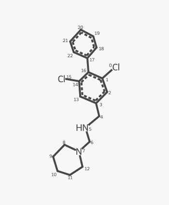 Clc1cc(CNCN2CCCCC2)cc(Cl)c1-c1ccccc1